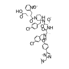 COC[C@H](NC(=O)[C@H](C)NCc1ccc(Cl)cc1Oc1ccc(-c2cnc(CN(C)C)n2C)cc1)C(=O)N[C@@]1(Cc2ccc(Cl)cc2)CCCN(C(=O)[C@H](CCC(=O)O)Cc2cccc[n+]2[O-])C1